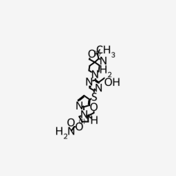 C[C@@H]1OCC2(CCN(c3ncc(Sc4ccnc5c4OC[C@@H]4C[C@H](OC(N)=O)CN54)nc3CO)CC2)C1N